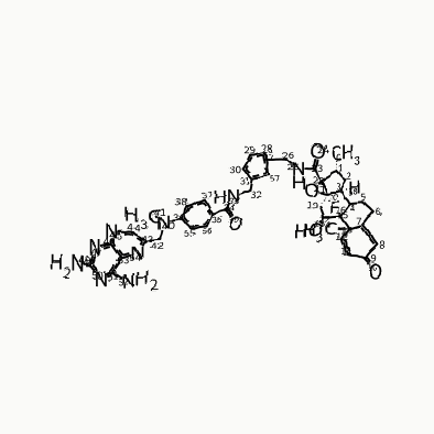 C[C@@H]1C[C@H]2C3CCC4=CC(=O)C=C[C@]4(C)[C@@]3(F)[C@@H](O)C[C@@]23O[C@]13C(=O)NCc1cccc(CNC(=O)c2ccc(N(C)Cc3cnc4nc(N)nc(N)c4n3)cc2)c1